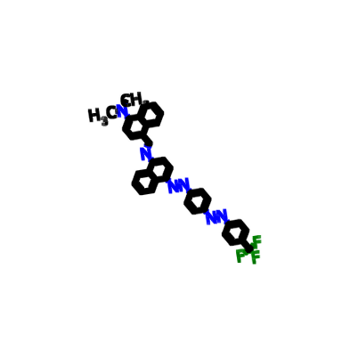 CN(C)c1ccc(/C=N/c2ccc(/N=N/c3ccc(/N=N/c4ccc(C(F)(F)F)cc4)cc3)c3ccccc23)c2ccccc12